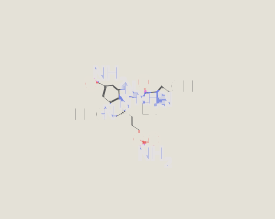 CCn1nc(C)cc1C(=O)Nc1nc2cc(C(N)=O)cc3c2n1[C@@H](CCCOC(N)=O)CN3C